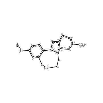 CCOc1ccc2c(c1)CNCCn1c-2cc2ccc(C(=O)O)cc21